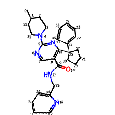 CC1CCN(c2ncc(C(=O)NCc3ccccn3)c(C3(c4ccccc4)CCCC3)n2)CC1